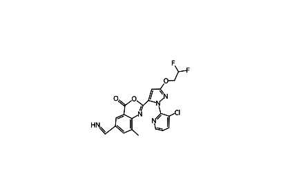 Cc1cc(C=N)cc2c(=O)oc(-c3cc(OCC(F)F)nn3-c3ncccc3Cl)nc12